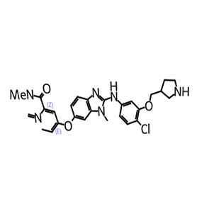 C=N/C(=C\C(=C/C)Oc1ccc2nc(Nc3ccc(Cl)c(OCC4CCNC4)c3)n(C)c2c1)C(=O)NC